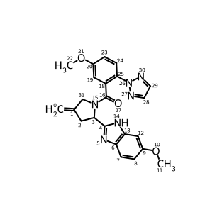 C=C1CC(c2nc3ccc(OC)cc3[nH]2)N(C(=O)c2cc(OC)ccc2-n2nccn2)C1